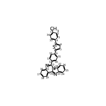 Cc1ccc(-c2ccc(-c3ccc(-c4nc5ccccc5c5nc6ccccc6n45)cc3)s2)cc1